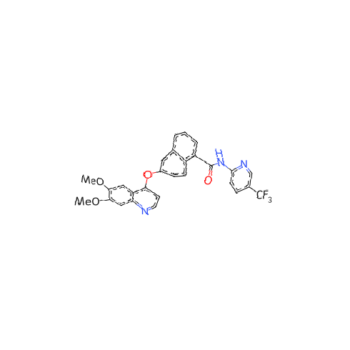 COc1cc2nccc(Oc3ccc4c(C(=O)Nc5ccc(C(F)(F)F)cn5)cccc4c3)c2cc1OC